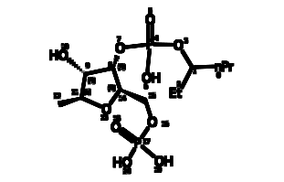 CCCC(CC)OP(=O)(O)O[C@H]1[C@@H](O)[C@H](C)O[C@@H]1COP(=O)(O)O